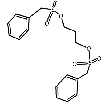 O=S(=O)(Cc1ccccc1)OCCCOS(=O)(=O)Cc1ccccc1